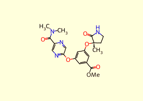 COC(=O)c1cc(Oc2cnc(C(=O)N(C)C)cn2)cc(O[C@@]2(C)CCNC2=O)c1